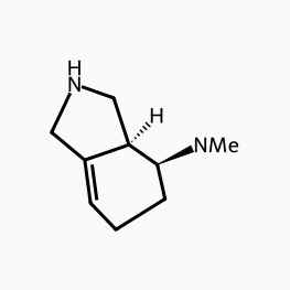 CN[C@H]1CCC=C2CNC[C@H]21